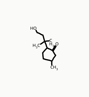 CC1CCC(C(C)(C)CCO)C(=O)C1